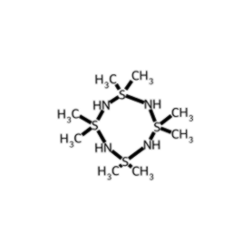 CS1(C)NS(C)(C)NS(C)(C)NS(C)(C)N1